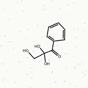 O=C(c1ccccc1)C(O)(O)CO